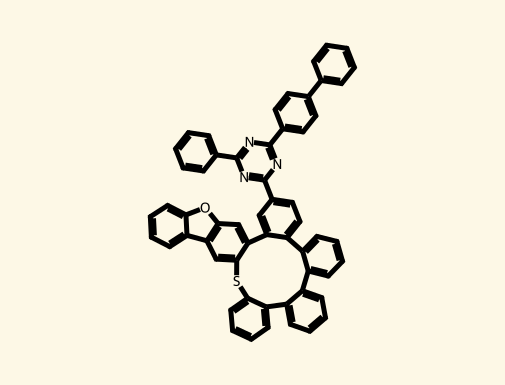 c1ccc(-c2ccc(-c3nc(-c4ccccc4)nc(-c4ccc5c(c4)-c4cc6oc7ccccc7c6cc4Sc4ccccc4-c4ccccc4-c4ccccc4-5)n3)cc2)cc1